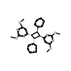 COc1cc([C@H]2[C@H](c3ccccc3)[C@H](c3cc(OC)nc(OC)n3)[C@H]2c2ccccc2)nc(OC)n1